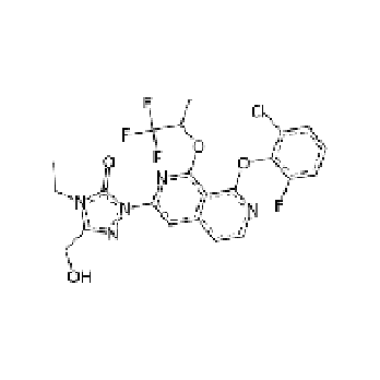 CCn1c(CO)nn(-c2cc3ccnc(Oc4c(F)cccc4Cl)c3c(OC(C)C(F)(F)F)n2)c1=O